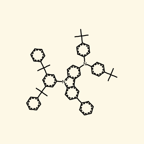 CC(C)(C)c1ccc(N(c2ccc(C(C)(C)C)cc2)c2ccc3c(c2)c2cc(-c4ccccc4)ccc2n3-c2cc(C(C)(C)c3ccccc3)cc(C(C)(C)c3ccccc3)c2)cc1